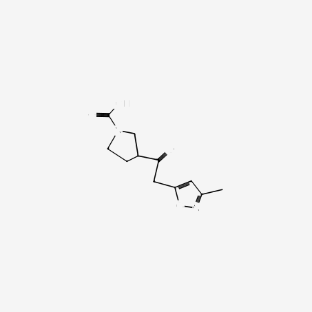 Cc1cc(CC(=O)C2CCN(C(=O)O)C2)on1